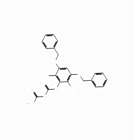 CCc1c(OCc2ccccc2)cc(OCc2ccccc2)c(CC)c1NC(=O)NC(=N)NC